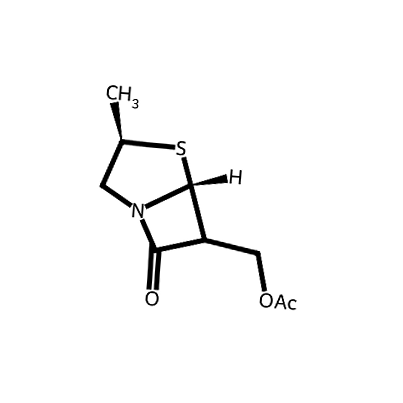 CC(=O)OCC1C(=O)N2C[C@@H](C)S[C@H]12